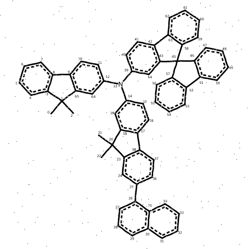 CC1(C)c2ccccc2-c2ccc(N(c3ccc4c(c3)C(C)(C)c3cc(-c5cccc6ccccc56)ccc3-4)c3ccc4c(c3)C3(c5ccccc5-c5ccccc53)c3ccccc3-4)cc21